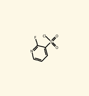 O=S(=O)(Cl)c1cccnc1F